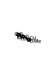 CCC1COCCN1S(=O)(=O)c1ccc(C(=O)Nc2ccc(OC)c(C)c2)cc1